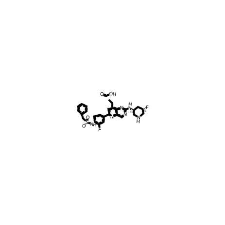 CCc1cc(-c2ccc(NS(=O)(=O)Cc3ccccc3)c(F)c2)nc2cnc(N[C@@H]3CNC[C@@H](F)C3)nc12.O=CO